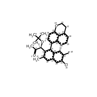 CC(=O)[C@@H](OC(C)(C)C)c1c(C)cc2cc(Cl)c(F)cc2c1-c1ccc2c3c(ccnc13)CCO2